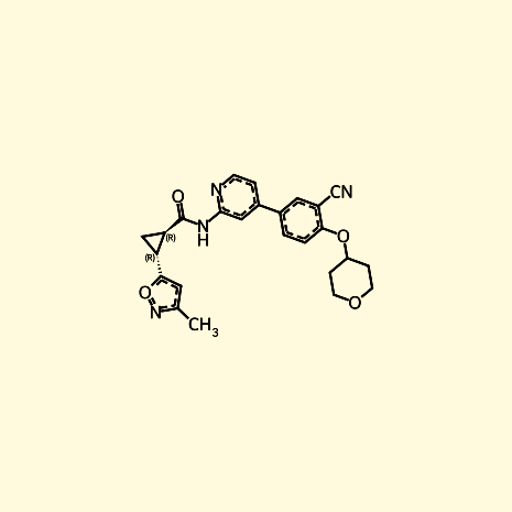 Cc1cc([C@@H]2C[C@H]2C(=O)Nc2cc(-c3ccc(OC4CCOCC4)c(C#N)c3)ccn2)on1